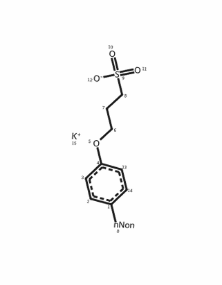 CCCCCCCCCc1ccc(OCCCS(=O)(=O)[O-])cc1.[K+]